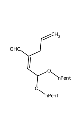 C=CC/C(C=O)=C\C(OCCCCC)OCCCCC